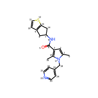 Cc1cc(C(=O)NC2Cc3ccsc3C2)c(C)n1Cc1ccncc1